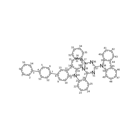 c1ccc(-c2ccc(-c3ccc4c(c3)c3ccccc3n4-c3ccccc3-c3nc(-c4ccccc4)nc(-n4c5ccccc5c5ccccc54)n3)cc2)cc1